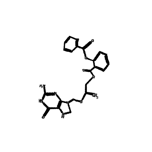 CC(COC(=O)c1ccccc1OC(=O)c1ccccc1)OCN1CNc2c1nc(N)[nH]c2=O